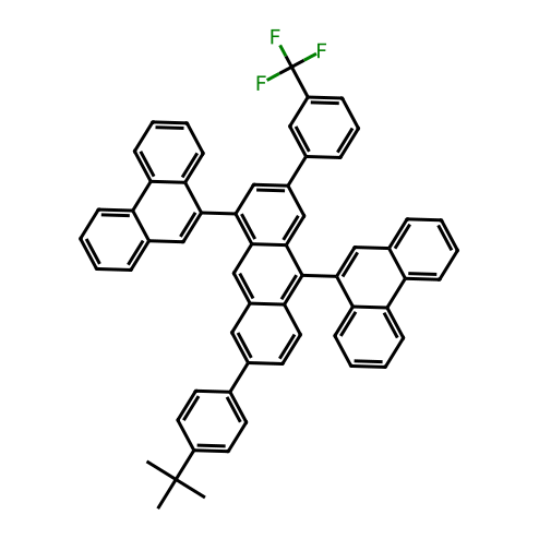 CC(C)(C)c1ccc(-c2ccc3c(-c4cc5ccccc5c5ccccc45)c4cc(-c5cccc(C(F)(F)F)c5)cc(-c5cc6ccccc6c6ccccc56)c4cc3c2)cc1